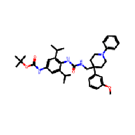 COc1cccc(C2(CNC(=O)Nc3c(C(C)C)cc(NC(=O)OC(C)(C)C)cc3C(C)C)CCN(c3ccccc3)CC2)c1